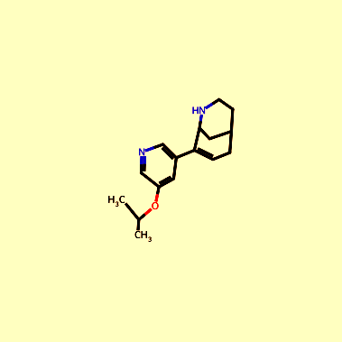 CC(C)Oc1cncc(C2=CCC3CCNC2C3)c1